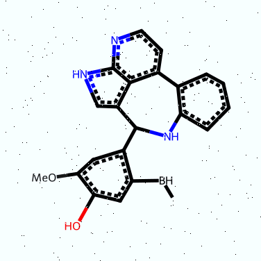 CBc1cc(O)c(OC)cc1C1Nc2ccccc2-c2ccnc3[nH]cc1c23